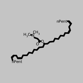 CCCCC/C=C\C/C=C\CCCCCCCCC(CCCCCCCC/C=C\C/C=C\CCCCC)OC(=O)CCN(C)C